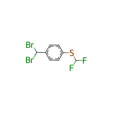 FC(F)Sc1ccc(C(Br)Br)cc1